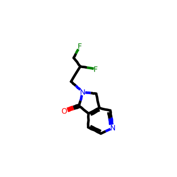 O=C1c2ccncc2CN1CC(F)CF